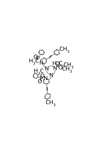 CCOP(=O)(c1ccccc1)c1cc(C#Cc2ccc(C)cc2)cc(CN2CCN(Cc3cc(C#Cc4ccc(C)cc4)cc(P(C)(=O)c4ccccc4)n3)CCN(C(=O)OC(C)(C)C)CC2)n1